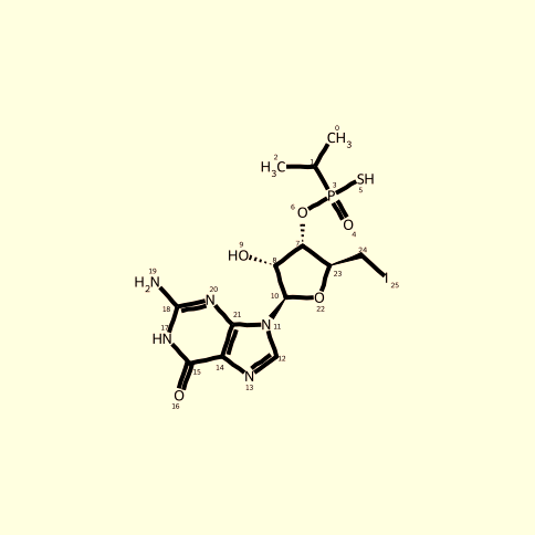 CC(C)P(=O)(S)O[C@H]1[C@@H](O)[C@H](n2cnc3c(=O)[nH]c(N)nc32)O[C@@H]1CI